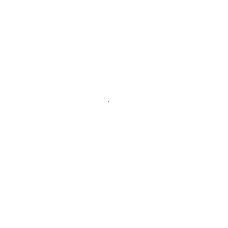 Cc1ccccc1C(C(O)CO)n1ccc2ccccc21